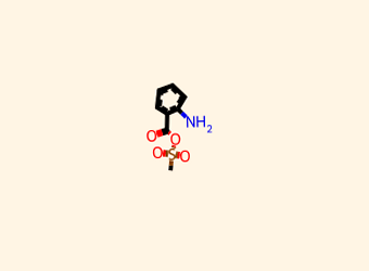 CS(=O)(=O)OC(=O)c1ccccc1N